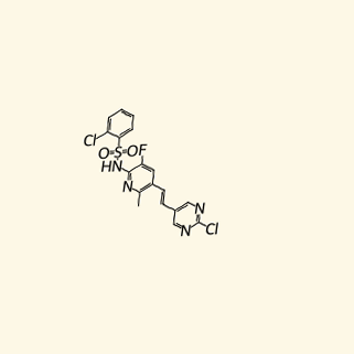 Cc1nc(NS(=O)(=O)c2ccccc2Cl)c(F)cc1C=Cc1cnc(Cl)nc1